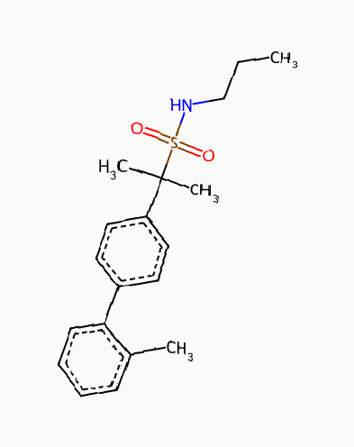 CCCNS(=O)(=O)C(C)(C)c1ccc(-c2ccccc2C)cc1